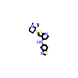 CC[C@@H]1[C@H](c2cc3c(Nc4ccc5scnc5c4)ccnc3s2)CCCN1C